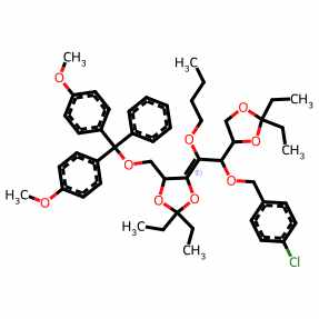 CCCCO/C(=C1/OC(CC)(CC)OC1COC(c1ccccc1)(c1ccc(OC)cc1)c1ccc(OC)cc1)C(OCc1ccc(Cl)cc1)C1COC(CC)(CC)O1